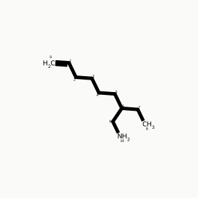 C=CCCCCC(CC)CN